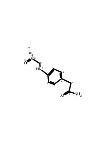 NC(=O)Cc1ccc(NC[SH](=O)=O)cc1